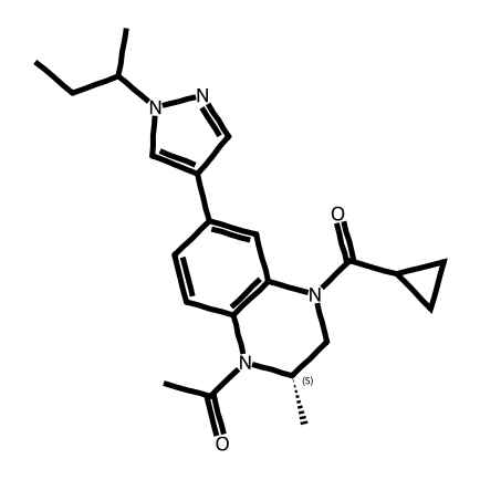 CCC(C)n1cc(-c2ccc3c(c2)N(C(=O)C2CC2)C[C@H](C)N3C(C)=O)cn1